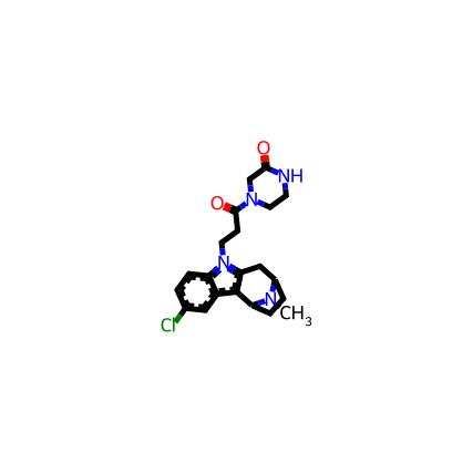 CN1C2CCC1c1c(n(CCC(=O)N3CCNC(=O)C3)c3ccc(Cl)cc13)C2